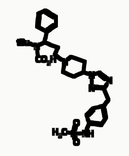 CC(C)(C)N(C(=O)O)C(CCN1CCC(n2cnc(Cc3ccc(NS(C)(=O)=O)cc3)n2)CC1)c1ccccc1